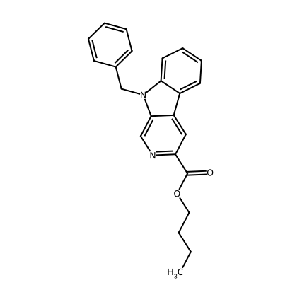 CCCCOC(=O)c1cc2c3ccccc3n(Cc3ccccc3)c2cn1